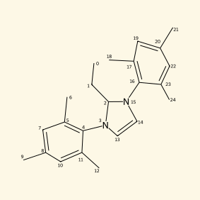 CCC1N(c2c(C)cc(C)cc2C)C=CN1c1c(C)cc(C)cc1C